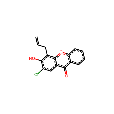 C=CCc1c(O)c(Cl)cc2c(=O)c3ccccc3oc12